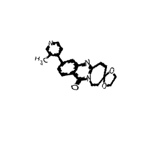 Cc1cnccc1-c1ccc2c(=O)n3c(nc2c1)CCC1(CC3)OCCO1